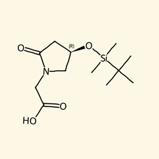 CC(C)(C)[Si](C)(C)O[C@@H]1CC(=O)N(CC(=O)O)C1